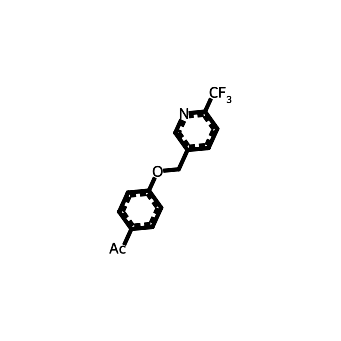 [CH2]C(=O)c1ccc(OCc2ccc(C(F)(F)F)nc2)cc1